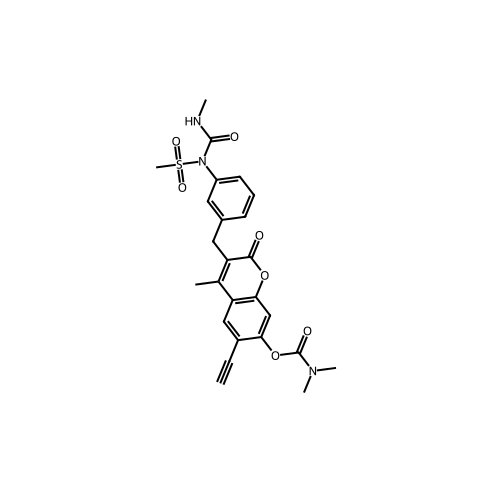 C#Cc1cc2c(C)c(Cc3cccc(N(C(=O)NC)S(C)(=O)=O)c3)c(=O)oc2cc1OC(=O)N(C)C